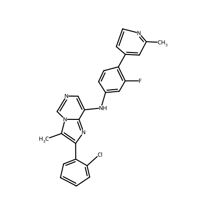 Cc1cc(-c2ccc(Nc3cncn4c(C)c(-c5ccccc5Cl)nc34)cc2F)ccn1